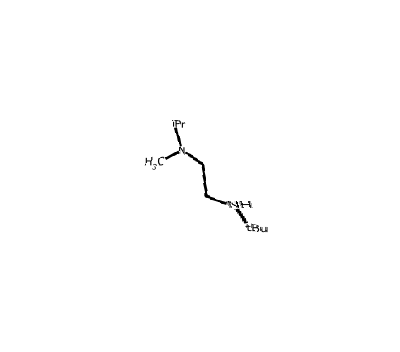 CC(C)N(C)CCNC(C)(C)C